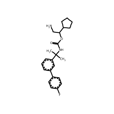 CC(C)(NC(=O)OC(CN)C1CCCC1)c1cccc(-c2ccc(F)cc2)c1